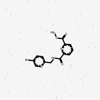 CCCCOC(=O)c1cccc(C(=O)NCc2ccc(Br)cn2)n1